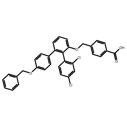 O=C(O)c1ccc(COc2cc[c]c(-c3ccc(OCc4ccccc4)cc3)c2-c2ccc(Cl)cc2Cl)cc1